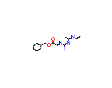 C=C\N=C(C)/N=C(I)\N=C\C(=O)OCc1ccccc1